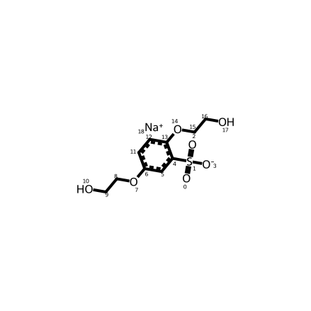 O=S(=O)([O-])c1cc(OCCO)ccc1OCCO.[Na+]